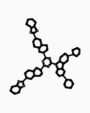 c1ccc(-c2ccc3c(c2)c2cc(-c4ccccc4)ccc2n3-c2nc(-c3ccc4cc(-c5nc6ccccc6o5)ccc4c3)nc(-c3ccc4cc(-c5nc6ccccc6o5)ccc4c3)n2)cc1